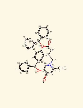 O=Cc1cc(=O)c(OC(c2ccccc2)c2ccccc2)cn1CCCC(=O)OC(c1ccccc1)c1ccccc1